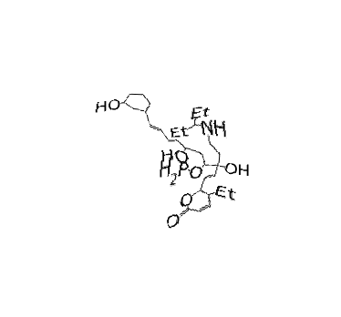 CCC(CC)NCCC(O)(C=CC1OC(=O)C=CC1CC)C(CC(O)C=CC=CC1CCCC(O)C1)OP